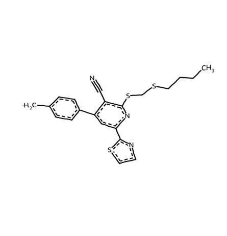 [CH2]c1ccc(-c2cc(-c3nccs3)nc(SCSCCCC)c2C#N)cc1